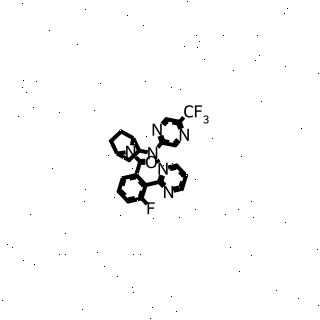 CN(c1cnc(C(F)(F)F)cn1)C1CC2CCC1N2C(=O)c1cccc(F)c1-c1ncccn1